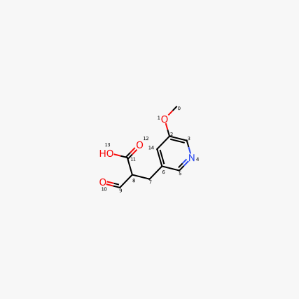 COc1cncc(CC(C=O)C(=O)O)c1